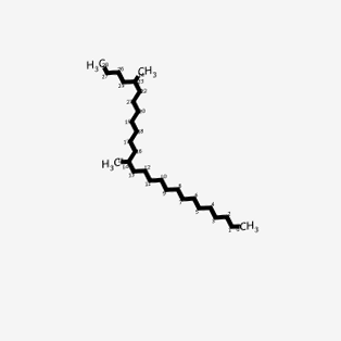 CCCCCCCCCCCCCCC(C)CCCCCCCC(C)CCCC